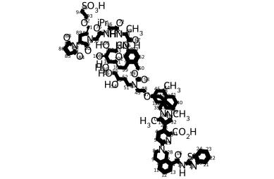 Cc1c(-c2ccc(N3CCc4cccc(C(=O)Nc5nc6ccccc6s5)c4C3)nc2C(=O)O)cnn1CC12CC3(C)CCC1C(C)CC(OCCN(CC[C@H](O)CO)C(=O)OCc1ccc(NC(=O)[C@H](C)NC(=O)[C@@H](NC(=O)CN4C(=O)[C@@H](N5C(=O)C=CC5=O)C[C@H]4COCCS(=O)(=O)O)C(C)C)cc1CC[C@@H]1O[C@H](C(=O)O)[C@@H](O)[C@H](O)[C@H]1O)(C3)C2